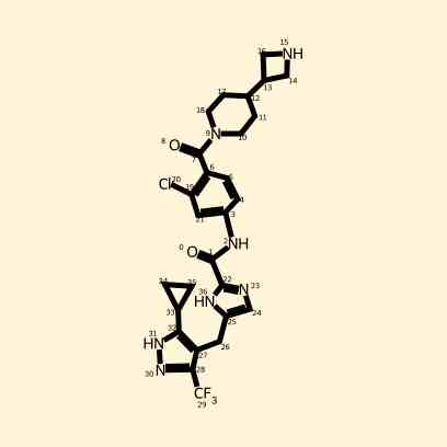 O=C(Nc1ccc(C(=O)N2CCC(C3CNC3)CC2)c(Cl)c1)c1ncc(Cc2c(C(F)(F)F)n[nH]c2C2CC2)[nH]1